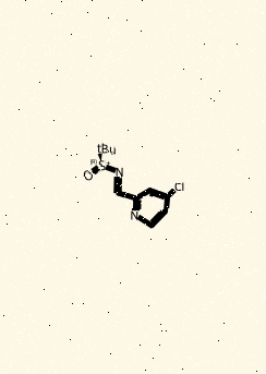 CC(C)(C)[S@+]([O-])N=Cc1cc(Cl)ccn1